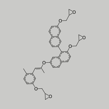 C/C(=C\c1cc(OCC2CO2)ccc1C)Oc1ccc2ccc(OCC3CO3)c(-c3ccc4ccc(OCC5CO5)cc4c3)c2c1